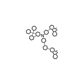 c1ccc(C2(c3ccccc3)c3ccccc3-c3cc(N(c4ccc(-c5cccc(-c6ccc7sc8ccccc8c7c6)c5)cc4)c4ccc(-c5cccc6sc7ccccc7c56)cc4)ccc32)cc1